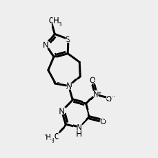 Cc1nc(N2CCc3nc(C)sc3CC2)c([N+](=O)[O-])c(=O)[nH]1